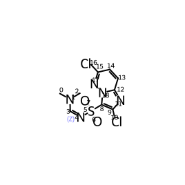 CN(C)/C=N\S(=O)(=O)c1c(Cl)nc2ccc(Cl)nn12